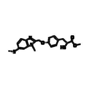 COC(=O)C(S)Cc1ccc(OCc2nc3ccc(SC)cc3n2C)cc1